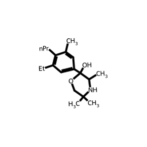 CCCc1c(C)cc(C2(O)OCC(C)(C)NC2C)cc1CC